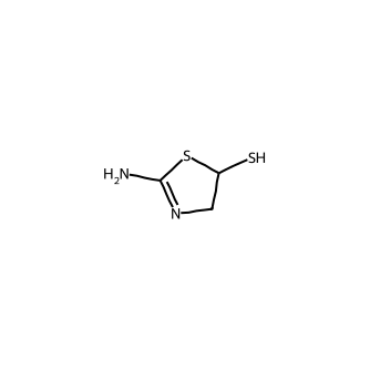 NC1=NCC(S)S1